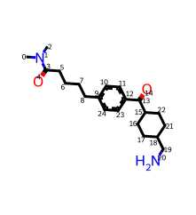 CN(C)C(=O)CCCCc1ccc(C(=O)C2CCC(CN)CC2)cc1